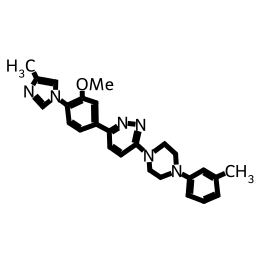 COc1cc(-c2ccc(N3CCN(c4cccc(C)c4)CC3)nn2)ccc1-n1cnc(C)c1